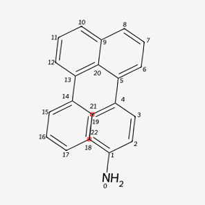 Nc1ccc(-c2cccc3cccc(-c4ccccc4)c23)cc1